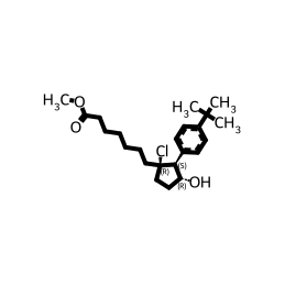 COC(=O)CCCCCC[C@@]1(Cl)CC[C@@H](O)[C@@H]1c1ccc(C(C)(C)C)cc1